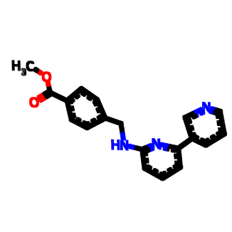 COC(=O)c1ccc(CNc2cccc(-c3cccnc3)n2)cc1